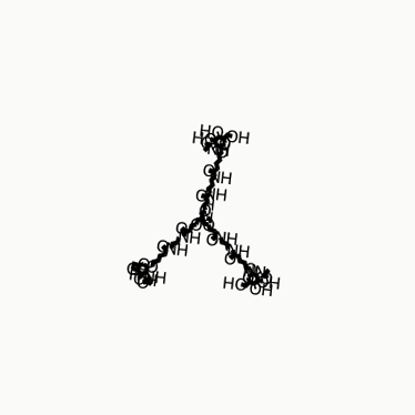 CNC(COCCC(=O)NCCCNC(=O)CCCCO[C@@H]1OC(CO)[C@H](O)C(O)[C@@H]1NC(C)=O)(COCCC(=O)NCCCNC(=O)CCCCO[C@@H]1OC(CO)[C@H](O)C(O)[C@@H]1NC(C)=O)COCCC(=O)NCCCNC(=O)CCCCO[C@@H]1OC2CO[C@@H]2C(O)[C@@H]1NC(C)=O